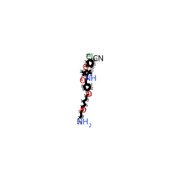 CC1(C)[C@H](NC(=O)c2ccc(OCCCCCOCCCN)cc2)C(C)(C)[C@H]1Oc1ccc(C#N)c(Cl)c1